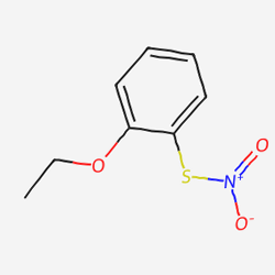 CCOc1ccccc1S[N+](=O)[O-]